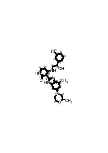 Cc1cc(N2CCO[C@H](C)C2)cc2[nH]c(-c3c(NC[C@H](O)c4cccc(Cl)c4)cc[nH]c3=O)nc12